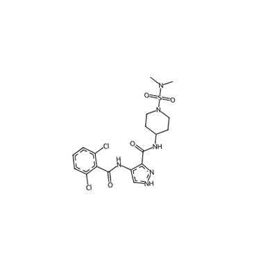 CN(C)S(=O)(=O)N1CCC(NC(=O)c2n[nH]cc2NC(=O)c2c(Cl)cccc2Cl)CC1